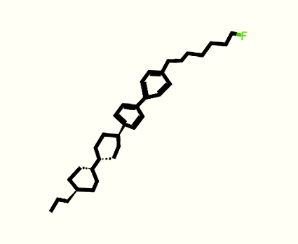 CCC[C@H]1CC[C@H]([C@H]2CC[C@H](c3ccc(-c4ccc(CCCCCCCF)cc4)cc3)CC2)CC1